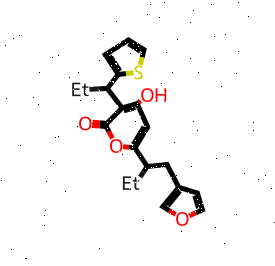 CCC(Cc1ccoc1)c1cc(O)c(C(CC)c2cccs2)c(=O)o1